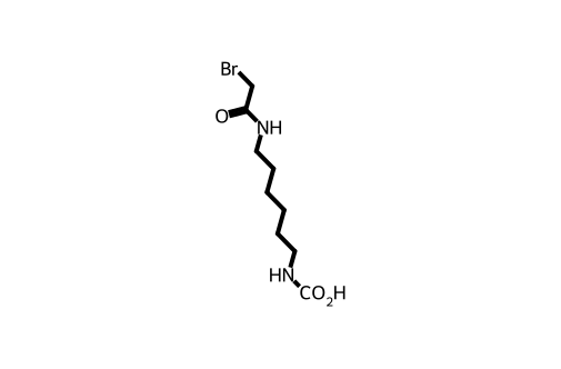 O=C(O)NCCCCCCNC(=O)CBr